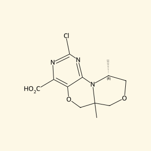 C[C@@H]1COCC2(C)COc3c(C(=O)O)nc(Cl)nc3N12